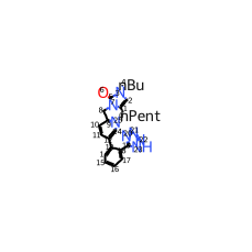 CCCCCc1cn(CCCC)c(=O)n1Cc1ccc(-c2ccccc2-c2nnn[nH]2)cn1